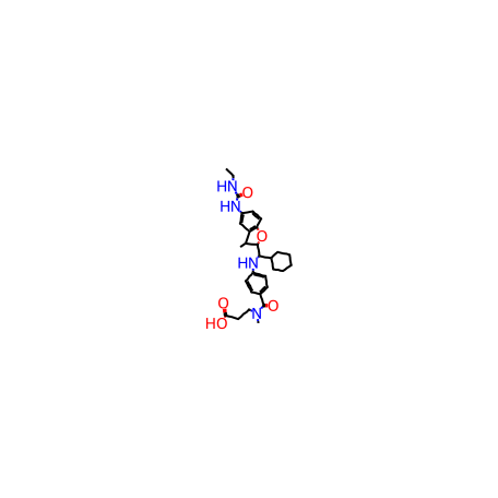 CCNC(=O)Nc1ccc2c(c1)C(C)C(C(Nc1ccc(C(=O)N(C)CCC(=O)O)cc1)C1CCCCC1)O2